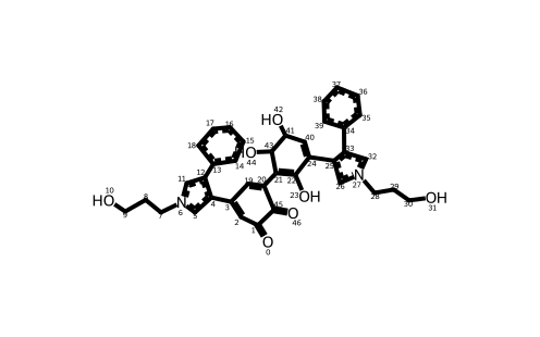 O=C1C=C(c2cn(CCCO)cc2-c2ccccc2)C=C(C2=C(O)C(c3cn(CCCO)cc3-c3ccccc3)=CC(O)C2O)C1=O